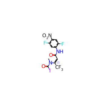 CN(C(=O)I)/C(=C\C(=O)Nc1cc(F)c([N+](=O)[O-])cc1F)C(F)(F)F